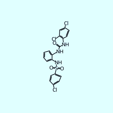 O=C(Nc1ccc(Cl)cc1Cl)Nc1ccccc1NS(=O)(=O)c1ccc(Cl)cc1